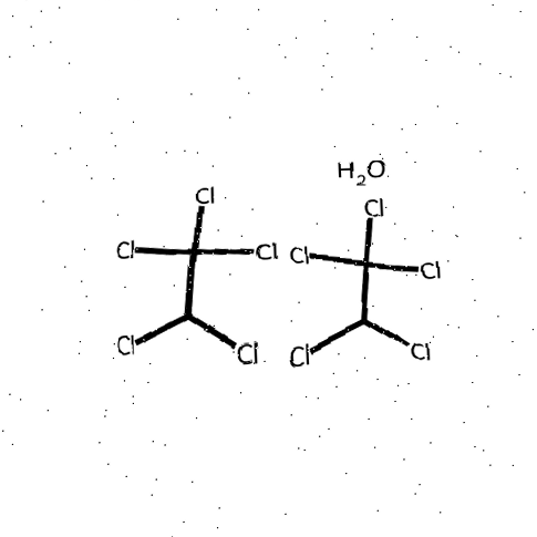 ClC(Cl)C(Cl)(Cl)Cl.ClC(Cl)C(Cl)(Cl)Cl.O